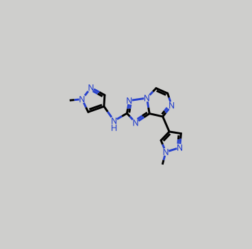 Cn1cc(Nc2nc3c(-c4cnn(C)c4)nccn3n2)cn1